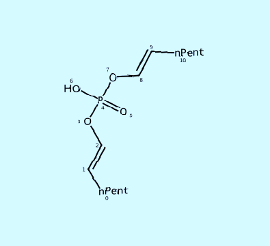 CCCCCC=COP(=O)(O)OC=CCCCCC